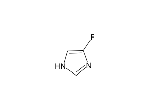 Fc1c[nH]cn1